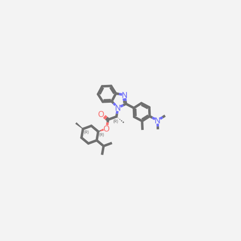 Cc1cc(-c2nc3ccccc3n2[C@H](C)C(=O)O[C@@H]2C[C@H](C)CCC2C(C)C)ccc1N(C)C